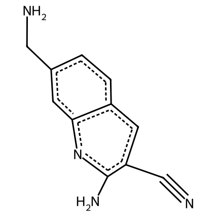 N#Cc1cc2ccc(CN)cc2nc1N